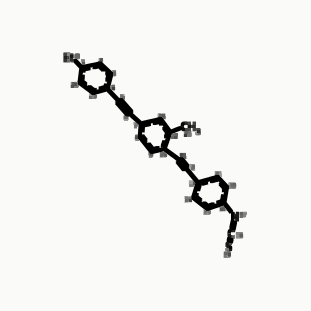 CCc1ccc(C#Cc2ccc(C#Cc3ccc(N=C=S)cc3)c(C)c2)cc1